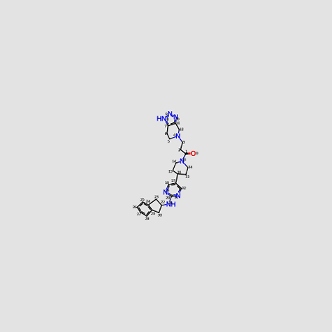 O=C(CCN1CCc2[nH]nnc2C1)N1CCC(c2cnc(NC3Cc4ccccc4C3)nc2)CC1